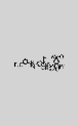 COc1ccc(C(C)C)c(N2C(=O)CS/C2=N\C(=O)Nc2ccc(-c3ncn(-c4cccc(C(F)(F)F)c4)n3)cc2C)c1